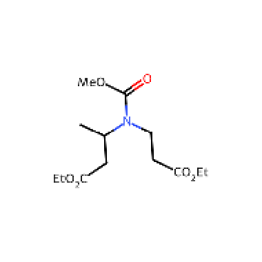 CCOC(=O)CCN(C(=O)OC)C(C)CC(=O)OCC